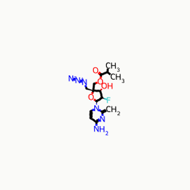 C=C1N=C(N)C=CN1[C@@H]1O[C@](CN=[N+]=[N-])(COC(=O)C(C)C)[C@@H](O)[C@H]1F